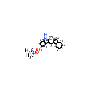 CN(C)OOSc1ccc2c(c1)/C(=C/c1ccc3cccccc1-3)C(=O)N2